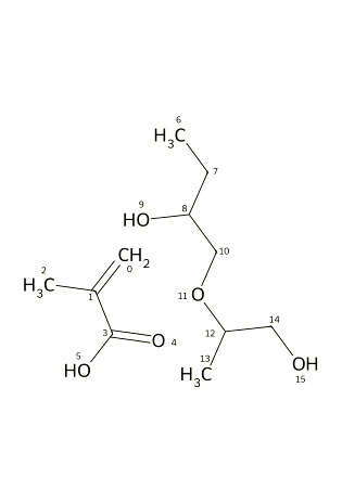 C=C(C)C(=O)O.CCC(O)COC(C)CO